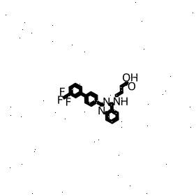 O=C(O)CCCNc1nc(-c2ccc(-c3cccc(C(F)(F)F)c3)cc2)nc2ccccc12